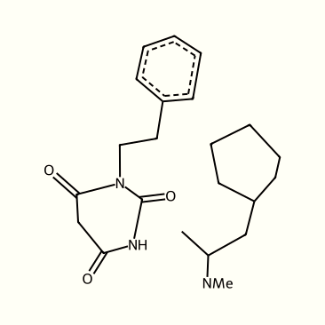 CNC(C)CC1CCCCC1.O=C1CC(=O)N(CCc2ccccc2)C(=O)N1